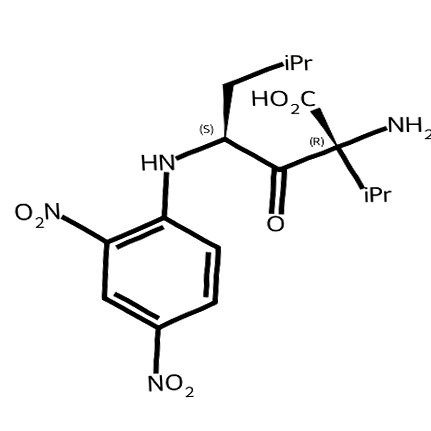 CC(C)C[C@H](Nc1ccc([N+](=O)[O-])cc1[N+](=O)[O-])C(=O)[C@@](N)(C(=O)O)C(C)C